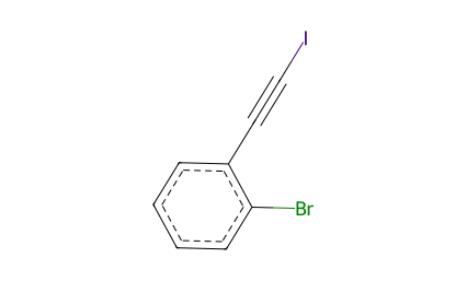 Brc1ccccc1C#CI